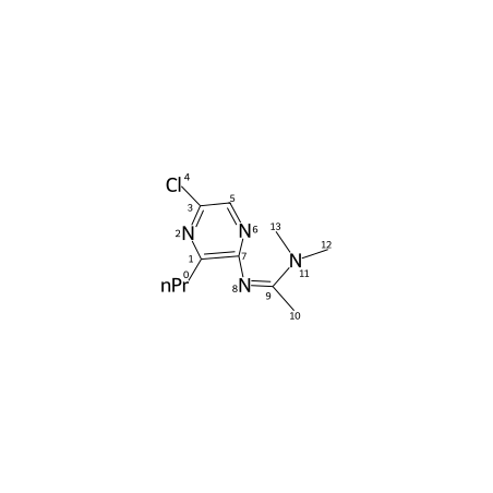 CCCc1nc(Cl)cnc1N=C(C)N(C)C